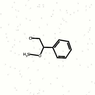 [SiH3]OC(CCl)c1ccccc1